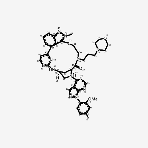 COc1cc(F)ccc1-n1ncc2c(N3C[C@@H]4C[C@H]3C(=O)N(CCCN3CCOCC3)CCCc3c5c(cccc5nn3C)-c3ccnc(n3)N4)ncnc21